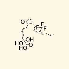 CCCC[C@@H](C/C=C/[C@H]1CCC(=O)[C@@H]1C/C=C\CCC(O)(O)C(=O)O)C(F)(F)F